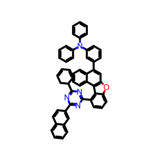 C1=CCC(c2nc(-c3ccc4ccccc4c3)nc(-c3cccc4oc5cc(-c6cccc(N(c7ccccc7)c7ccccc7)c6)c6ccccc6c5c34)n2)C=C1